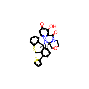 O=C1c2c(O)c(=O)ccn2N([C@@H]2c3ccccc3SCc3c(-c4cccs4)cccc32)[C@@H]2COCCN12